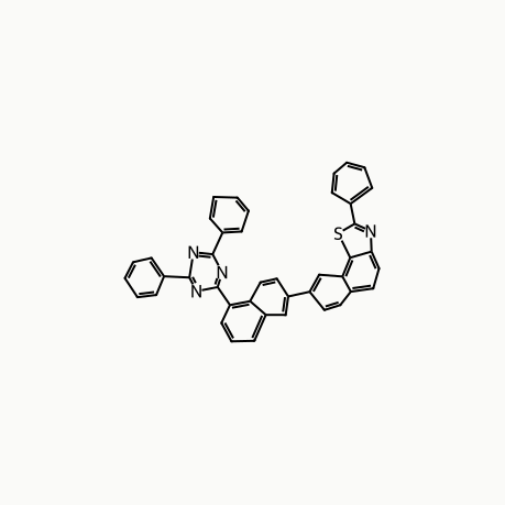 c1ccc(-c2nc(-c3ccccc3)nc(-c3cccc4cc(-c5ccc6ccc7nc(-c8ccccc8)sc7c6c5)ccc34)n2)cc1